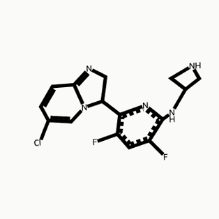 Fc1cc(F)c(C2CN=C3C=CC(Cl)=CN32)nc1NC1CNC1